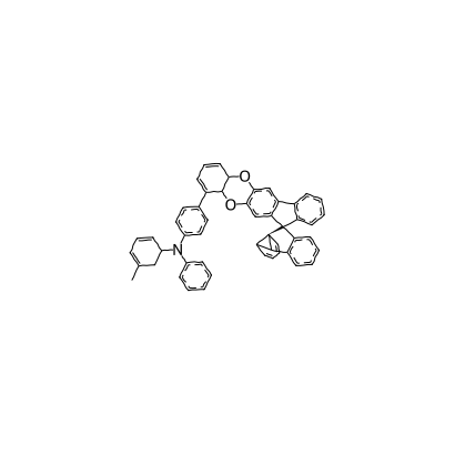 CC1=CC=CC(N(c2ccccc2)c2ccc(C3=CC=CC4Oc5cc6c(cc5OC34)C3(c4ccccc4-6)c4ccccc4C4C5C=CC=C[C@@]543)cc2)C1